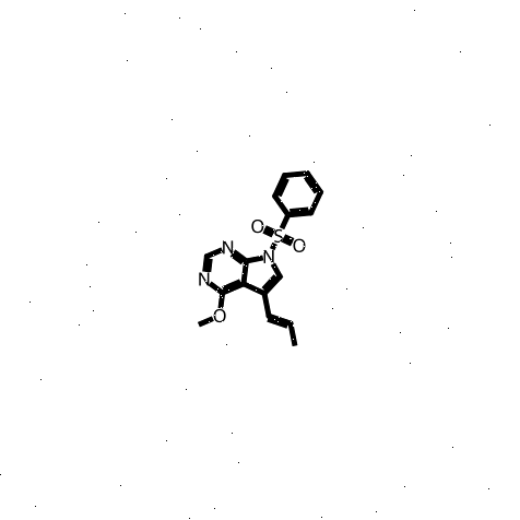 CC=Cc1cn(S(=O)(=O)c2ccccc2)c2ncnc(OC)c12